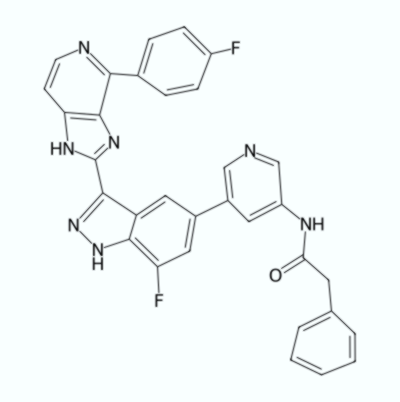 O=C(Cc1ccccc1)Nc1cncc(-c2cc(F)c3[nH]nc(-c4nc5c(-c6ccc(F)cc6)nccc5[nH]4)c3c2)c1